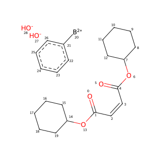 O=C(/C=C\C(=O)OC1CCCCC1)OC1CCCCC1.[B+2]c1ccccc1.[OH-].[OH-]